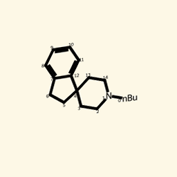 CCCCN1CCC2(CCc3ccccc32)CC1